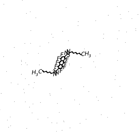 CCCCCCCc1nnc(-c2c(F)c(F)c3c(F)c4c(F)c(-c5nnc(CCCCCCC)s5)c(F)c(F)c4c(F)c3c2F)s1